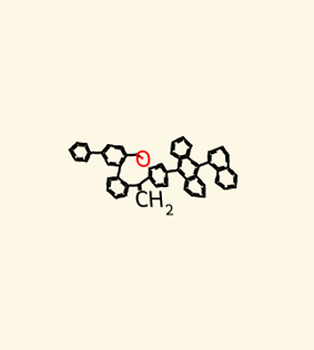 C=C1c2ccc(-c3c4ccccc4c(-c4cccc5ccccc45)c4ccccc34)cc2OCc2ccc(-c3ccccc3)cc2-c2ccccc21